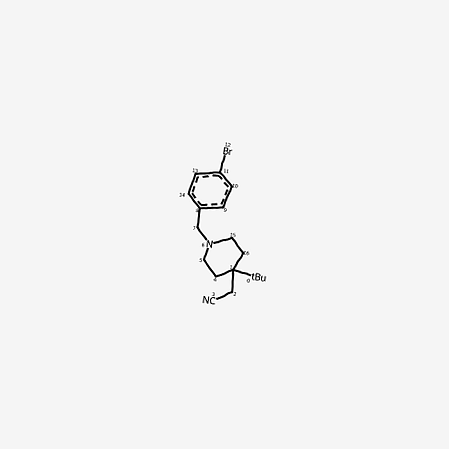 CC(C)(C)C1(CC#N)CCN(Cc2ccc(Br)cc2)CC1